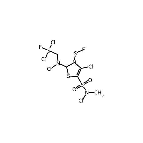 CN(Cl)S(=O)(=O)C1=C(Cl)N(SF)C(N(Cl)CS(F)(Cl)Cl)S1